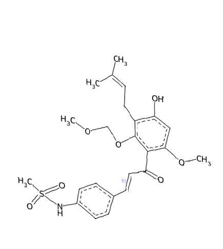 COCOc1c(CC=C(C)C)c(O)cc(OC)c1C(=O)/C=C/c1ccc(NS(C)(=O)=O)cc1